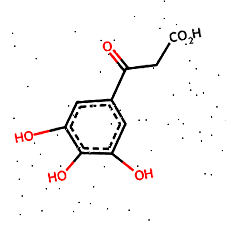 O=C(O)CC(=O)c1cc(O)c(O)c(O)c1